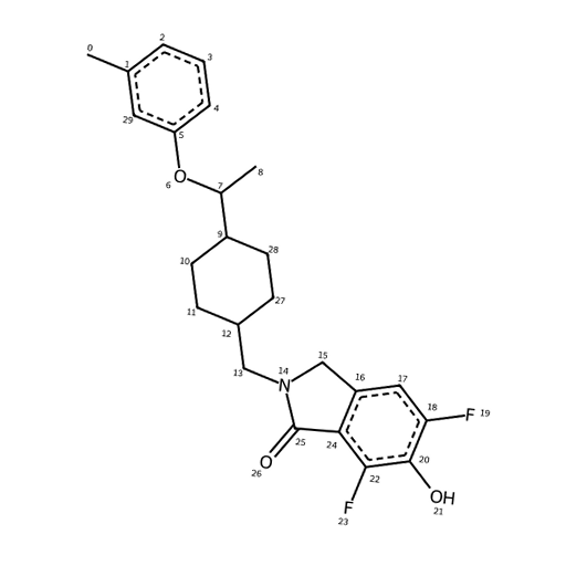 Cc1cccc(OC(C)C2CCC(CN3Cc4cc(F)c(O)c(F)c4C3=O)CC2)c1